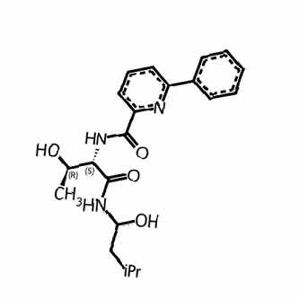 CC(C)CC(O)NC(=O)[C@@H](NC(=O)c1cccc(-c2ccccc2)n1)[C@@H](C)O